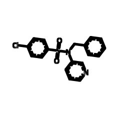 O=S(=O)(c1ccc(Cl)cc1)N(Cc1ccccc1)c1cccnc1